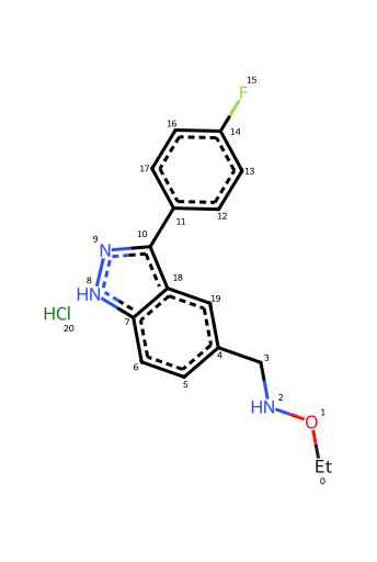 CCONCc1ccc2[nH]nc(-c3ccc(F)cc3)c2c1.Cl